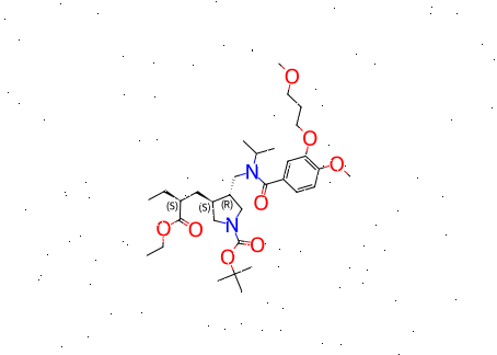 CCOC(=O)[C@@H](CC)C[C@@H]1CN(C(=O)OC(C)(C)C)C[C@H]1CN(C(=O)c1ccc(OC)c(OCCCOC)c1)C(C)C